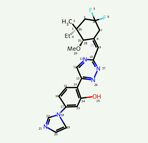 CC[C@]1(C)CC(F)(F)C/C(=C/c2ncc(-c3ccc(-n4ccnc4)cc3O)nn2)[C@H]1OC